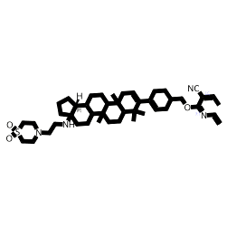 C=C/N=C(OCC1CC=C(C2=CCC3(C)C(CCC4(C)C5CCC6(NCCN7CCS(=O)(=O)CC7)CCC[C@@H]6C5CCC43)C2(C)C)CC1)\C(C#N)=C/C